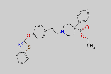 CCOC(=O)C1(c2ccccc2)CCN(CCc2ccc(Oc3nc4ccccc4s3)cc2)CC1